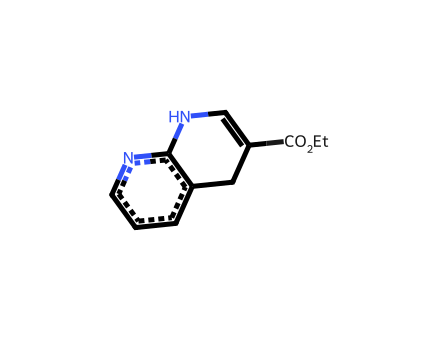 CCOC(=O)C1=CNc2ncccc2C1